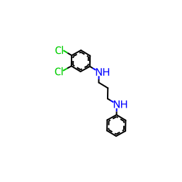 Clc1ccc(NCCCNc2ccccc2)cc1Cl